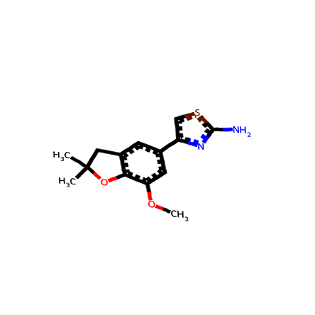 COc1cc(-c2csc(N)n2)cc2c1OC(C)(C)C2